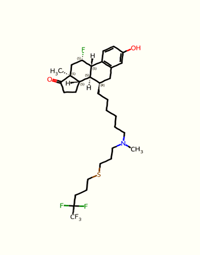 CN(CCCCCC[C@@H]1Cc2cc(O)ccc2[C@@H]2[C@@H]1[C@@H]1CCC(=O)[C@@]1(C)C[C@@H]2F)CCCSCCCC(F)(F)C(F)(F)F